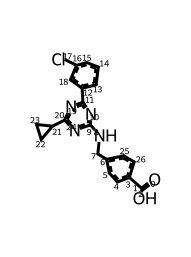 O=C(O)c1ccc(CNc2nc(-c3cccc(Cl)c3)nc(C3CC3)n2)cc1